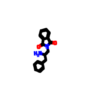 NC(Cc1ccccc1)CN1C(=O)c2ccccc2C1=O